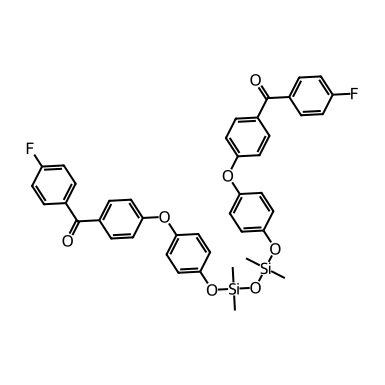 C[Si](C)(Oc1ccc(Oc2ccc(C(=O)c3ccc(F)cc3)cc2)cc1)O[Si](C)(C)Oc1ccc(Oc2ccc(C(=O)c3ccc(F)cc3)cc2)cc1